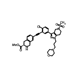 COC(=O)[C@H]1Cc2ccc(C#Cc3cc(-c4nn(CCCN5CCOCC5)c5c4CN(S(C)(=O)=O)CC5)ccc3Cl)cc2CN1